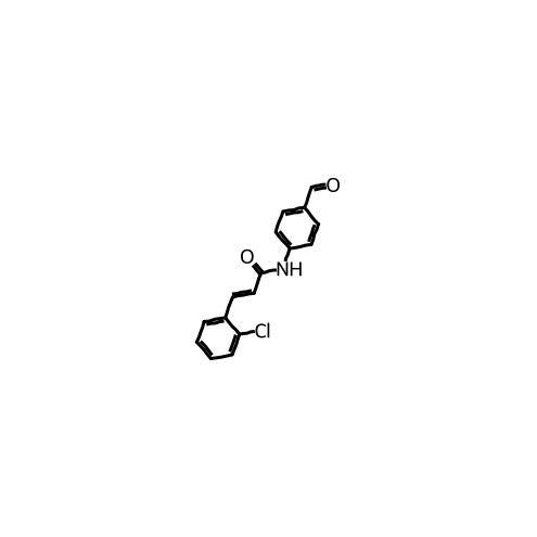 O=Cc1ccc(NC(=O)/C=C/c2ccccc2Cl)cc1